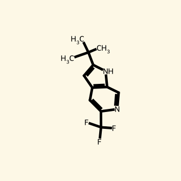 CC(C)(C)c1cc2cc(C(F)(F)F)ncc2[nH]1